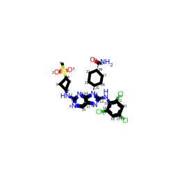 CS(=O)(=O)C1CC(Nc2ncc3nc(Nc4c(Cl)cc(Cl)cc4Cl)n([C@H]4CC[C@@H](C(N)=O)CC4)c3n2)C1